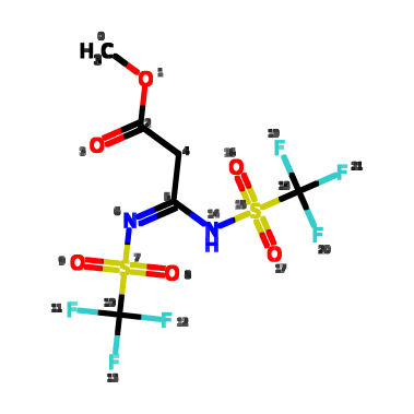 COC(=O)CC(=NS(=O)(=O)C(F)(F)F)NS(=O)(=O)C(F)(F)F